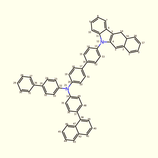 C1=CC2=Cc3c(c4ccccc4n3-c3ccc(-c4ccc(N(c5ccc(-c6ccccc6)cc5)c5ccc(-c6cccc7ccccc67)cc5)cc4)cc3)CC2C=C1